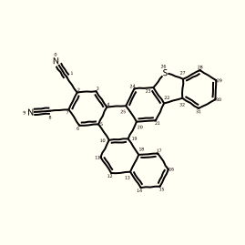 N#Cc1cc2c(cc1C#N)c1ccc3ccccc3c1c1cc3c(cc21)sc1ccccc13